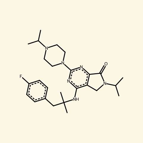 CC(C)N1CCN(c2nc(NC(C)(C)Cc3ccc(F)cc3)c3c(n2)C(=O)N(C(C)C)C3)CC1